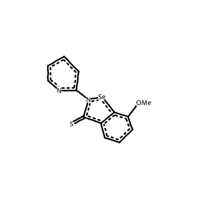 COc1cccc2c(=S)n(-c3ccccn3)[se]c12